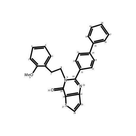 COc1ccccc1CCn1c(-c2ccc(-c3ccccc3)cc2)nc2ccsc2c1=O